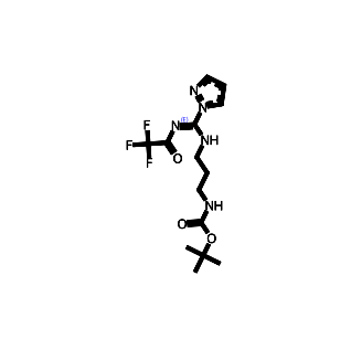 CC(C)(C)OC(=O)NCCCN/C(=N\C(=O)C(F)(F)F)n1cccn1